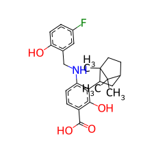 CC1(C)C2CCC1(C)C(c1c(NCc3cc(F)ccc3O)ccc(C(=O)O)c1O)C2